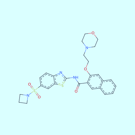 O=C(Nc1nc2ccc(S(=O)(=O)N3CCC3)cc2s1)c1cc2ccccc2cc1OCCN1CCOCC1